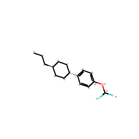 CCC[C@H]1CC[C@H](c2ccc(OC(F)F)cc2)CC1